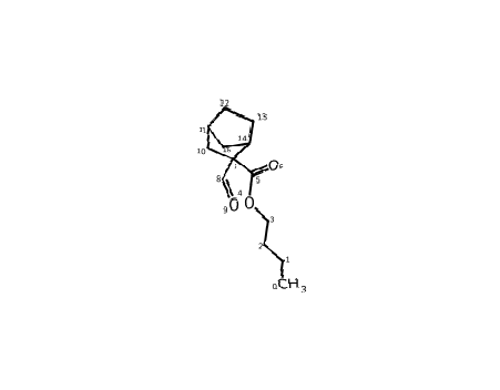 CCCCOC(=O)C1(C=O)CC2CCC1C2